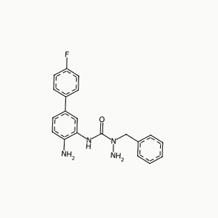 Nc1ccc(-c2ccc(F)cc2)cc1NC(=O)N(N)Cc1ccccc1